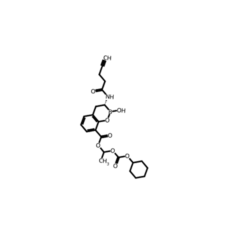 C#CCCC(=O)N[C@H]1Cc2cccc(C(=O)OC(C)OC(=O)OC3CCCCC3)c2OB1O